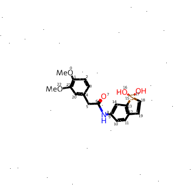 COc1ccc(CC(=O)Nc2ccc3c(c2)S(O)(O)C=C3)cc1OC